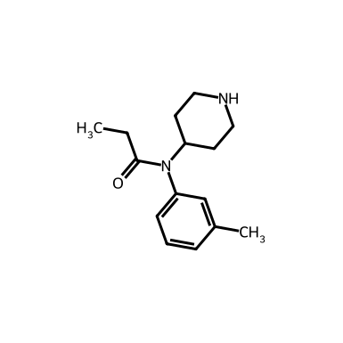 CCC(=O)N(c1cccc(C)c1)C1CCNCC1